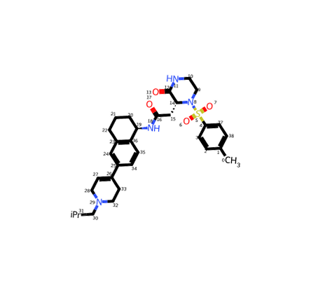 Cc1ccc(S(=O)(=O)N2CCNC(=O)[C@H]2CC(=O)N[C@@H]2CCCc3cc(C4=CCN(CC(C)C)CC4)ccc32)cc1